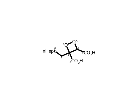 CCCCCCCCC1(C(=O)O)OOC1C(=O)O